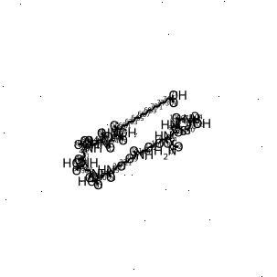 NC(=O)CC[C@H](NC(=O)COCCOCCNC(=O)COCCOCCNC(=O)CC[C@H](NC(=O)CC[C@H](NC(=O)CC[C@H](NC(=O)CC[C@H](NC(=O)CC[C@H](NC(=O)CCCCCCCCCCCCCCCCC(=O)O)C(=O)O)C(=O)O)C(=O)O)C(=O)O)C(=O)O)C(=O)CN[C@H]1CSSC[C@@H](C(=O)O)NCC1=O